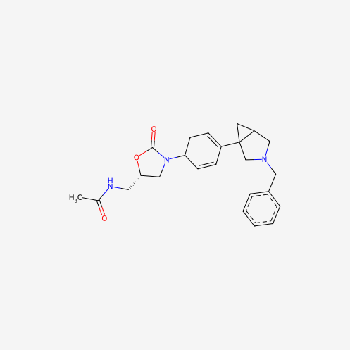 CC(=O)NC[C@H]1CN(C2C=CC(C34CC3CN(Cc3ccccc3)C4)=CC2)C(=O)O1